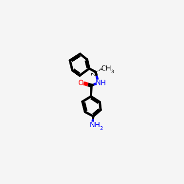 C[C@H](NC(=O)c1ccc(N)cc1)c1ccccc1